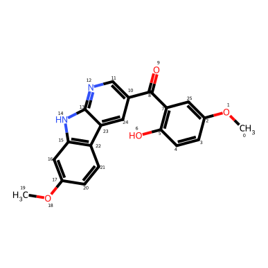 COc1ccc(O)c(C(=O)c2cnc3[nH]c4cc(OC)ccc4c3c2)c1